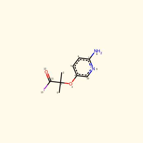 CC(C)(Oc1ccc(N)nc1)C(=O)I